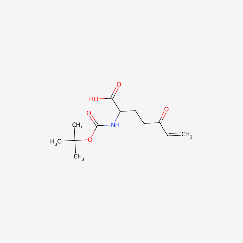 C=CC(=O)CCC(NC(=O)OC(C)(C)C)C(=O)O